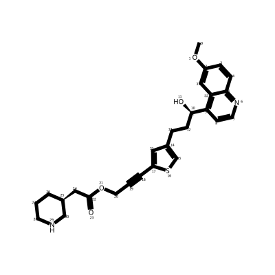 COc1ccc2nccc([C@H](O)CCc3csc(C#CCOC(=O)C[C@@H]4CCCNC4)c3)c2c1